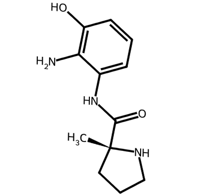 C[C@]1(C(=O)Nc2cccc(O)c2N)CCCN1